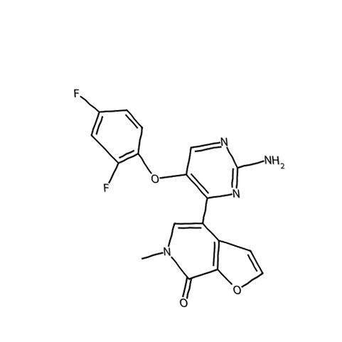 Cn1cc(-c2nc(N)ncc2Oc2ccc(F)cc2F)c2ccoc2c1=O